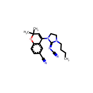 CCCCN1CCN(C2=CC(C)(C)Oc3ccc(C#N)cc32)C1=NC#N